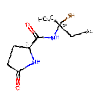 CC(=O)C[C@@](S)(NC(=O)[C@@H]1CCC(=O)N1)C(=O)O